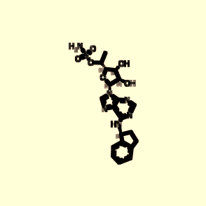 CC(OS(N)(=O)=O)[C@H]1O[C@@H](n2cnc3c(N[C@H]4CCc5ccccc54)ncnc32)[C@H](O)[C@@H]1O